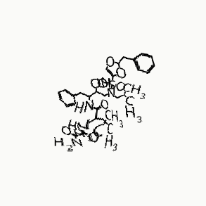 CC(C)CN(CC(O)C(Cc1ccccc1)NC(=O)C(NC(=O)C(N)=O)C(C)(C)C)S(=O)(=O)C1=COC(Cc2ccccc2)O1